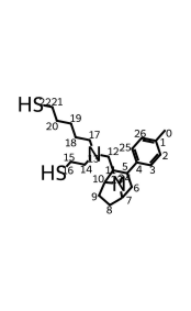 Cc1ccc(C2CC3CCC(C2CN(CCS)CCCCCS)N3C)cc1